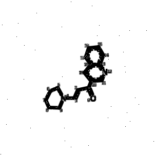 O=C(C=CN1CCCCC1)c1cnc2ccccc2c1